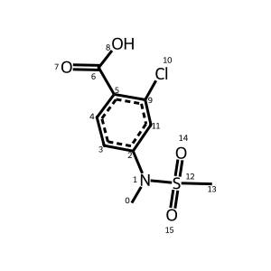 CN(c1ccc(C(=O)O)c(Cl)c1)S(C)(=O)=O